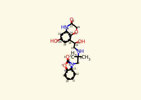 CC(C)(Cn1c(=O)oc2ccccc21)NCC(O)c1cc(O)cc2c1OCC(=O)N2